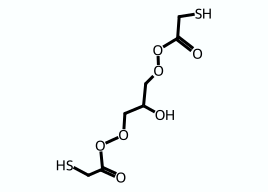 O=C(CS)OOCC(O)COOC(=O)CS